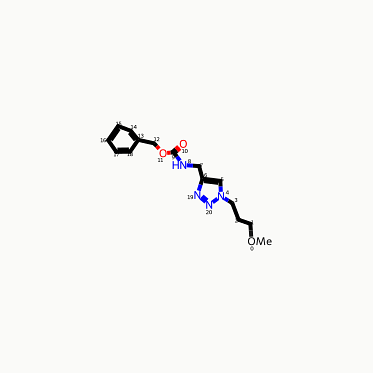 COCCCn1cc(CNC(=O)OCc2ccccc2)nn1